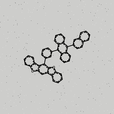 c1cc(-c2c3ccccc3c(-c3ccc4ccccc4c3)c3ccccc23)cc(-c2c3oc4ccccc4c3cc3oc4ccccc4c23)c1